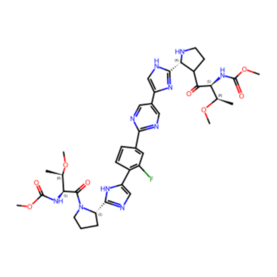 COC(=O)N[C@H](C(=O)C1CCN[C@H]1c1nc(-c2cnc(-c3ccc(-c4cnc([C@@H]5CCCN5C(=O)[C@@H](NC(=O)OC)[C@@H](C)OC)[nH]4)c(F)c3)nc2)c[nH]1)[C@@H](C)OC